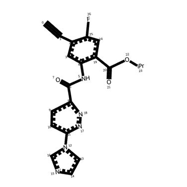 C#Cc1cc(NC(=O)c2ccc(-n3ccnc3)nn2)c(C(=O)OC(C)C)cc1F